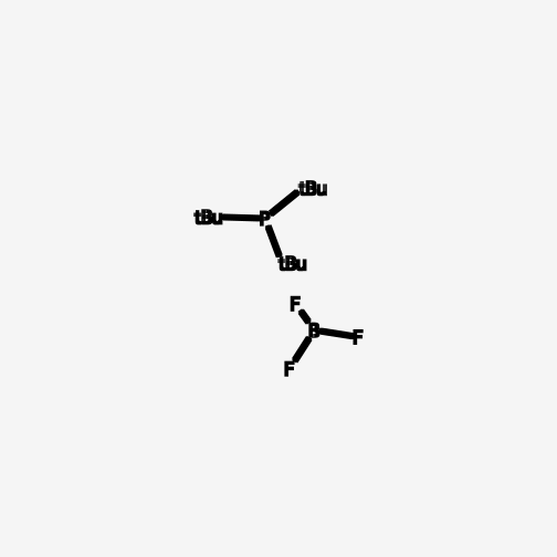 CC(C)(C)P(C(C)(C)C)C(C)(C)C.FB(F)F